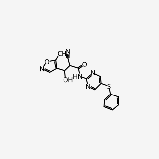 Cc1oncc1C(O)C(C#N)C(=O)Nc1ncc(Sc2ccccc2)cn1